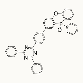 O=P1(c2ccccc2)c2ccccc2Oc2ccc(-c3ccc(-c4nc(-c5ccccc5)nc(-c5ccccc5)n4)cc3)cc21